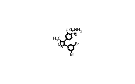 Cc1onc(-c2cc(Br)cc(Br)c2)c1-c1ccc(S(N)(=O)=O)c(F)c1